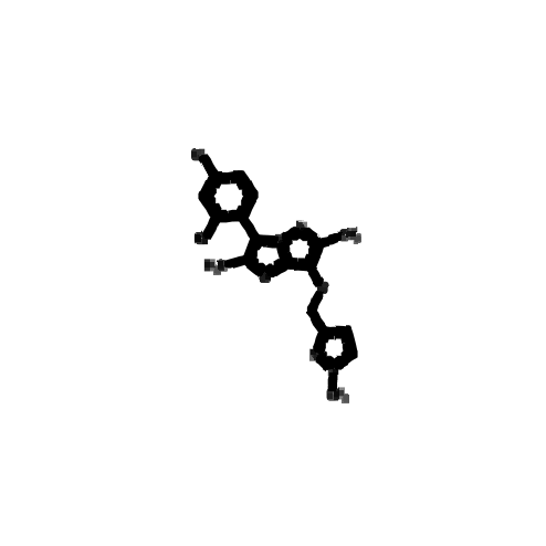 Cc1nn2c(-c3ccc(Cl)cc3Cl)c(C)oc2c1OCc1ccn(C)n1